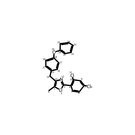 Cc1oc(-c2ccc(Cl)cc2Cl)nc1Cc1ccc(Oc2ccccc2)cc1